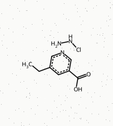 CCc1cncc(C(=O)O)c1.NNCl